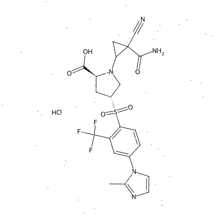 Cc1nccn1-c1ccc(S(=O)(=O)[C@@H]2C[C@@H](C(=O)O)N(C3CC3(C#N)C(N)=O)C2)c(C(F)(F)F)c1.Cl